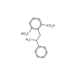 CC(Cc1c(C(=O)O)cccc1C(=O)O)c1ccccc1